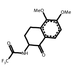 COc1ccc2c(c1OC)CCC(NC(=O)C(F)(F)F)C2=O